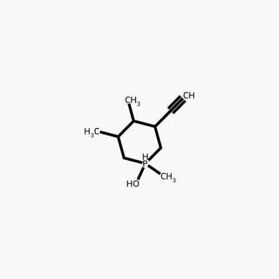 C#CC1C[PH](C)(O)CC(C)C1C